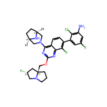 Nc1cc(F)cc(-c2ccc3c(N4C[C@H]5CC[C@@H](C4)N5)nc(OC[C@@]45CCCN4C[C@H](F)C5)nc3c2F)c1Cl